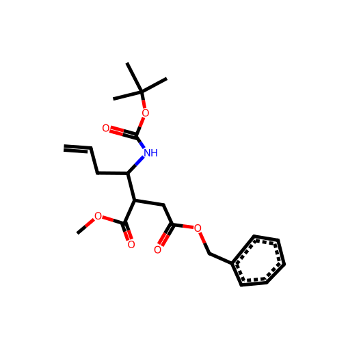 C=CCC(NC(=O)OC(C)(C)C)C(CC(=O)OCc1ccccc1)C(=O)OC